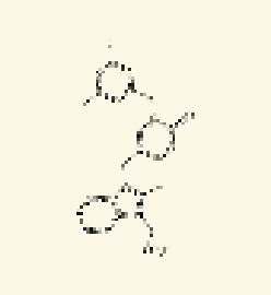 Cc1c(Cc2ccc(=O)n(Cc3cc(F)cc(F)c3)c2)c2ccccc2n1CC(=O)O